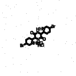 Cl.Cl.O=C1NC(C2CCC(Br)CN2)C(=O)NC1C1CCC(Br)CN1